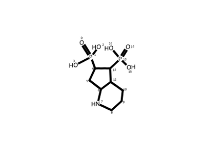 O=P(O)(O)C1CC2NCCCC2C1P(=O)(O)O